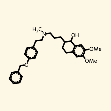 COc1cc2c(cc1OC)C(O)C(CCCN(C)CCc1ccc(OCc3ccccc3)cc1)CC2